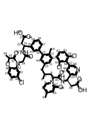 Cc1ccn(C(CC(C)Cc2ccc(C)c(-c3cccc([C@H](CC(=O)O)NC(=O)CN4C(=O)C(C)Oc5ccc(Cl)cc54)c3)c2)C(=O)N[C@H](CC(=O)O)c2cncc(-c3c(Cl)cccc3Cl)c2)c(=O)c1